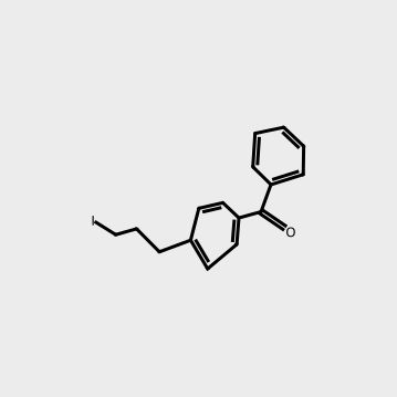 O=C(c1ccccc1)c1ccc(CCCI)cc1